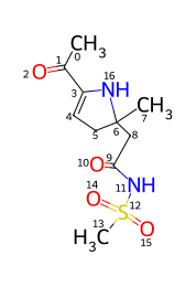 CC(=O)C1=CCC(C)(CC(=O)NS(C)(=O)=O)N1